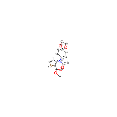 COC(=O)c1sccc1N(C(C)=O)C1CCC2(CC1)OCCO2